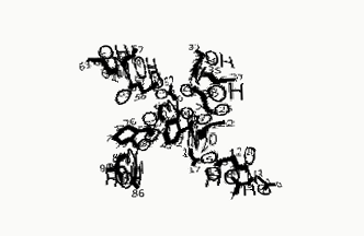 CC(O)CN(CC(C)O)C(=O)CCC(=O)OC(C)CN(CC(C)OC(=O)CCC(=O)N(CC(C)O)CC(C)O)C(=O)c1ccccc1C(=O)N(CC(C)OC(=O)CCC(=O)N(CC(C)O)CC(C)O)CC(C)OC(=O)c1ccccc1C(=O)N(CC(C)O)CC(C)O